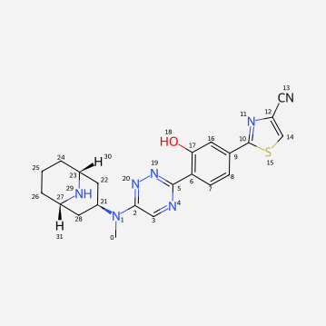 CN(c1cnc(-c2ccc(-c3nc(C#N)cs3)cc2O)nn1)[C@@H]1C[C@H]2CCC[C@@H](C1)N2